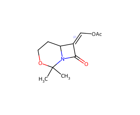 CC(=O)O/C=C1\C(=O)N2C1CCOC2(C)C